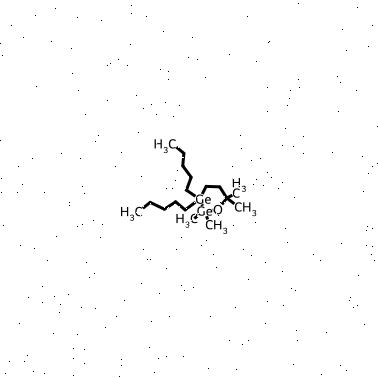 CCCC[CH2][Ge]1([CH2]CCCC)[CH2]CC(C)(C)[O][Ge]1([CH3])[CH3]